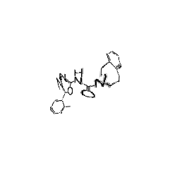 Cc1ccccc1-c1nnc(NC(=O)N2CCc3ccccc3C2)o1